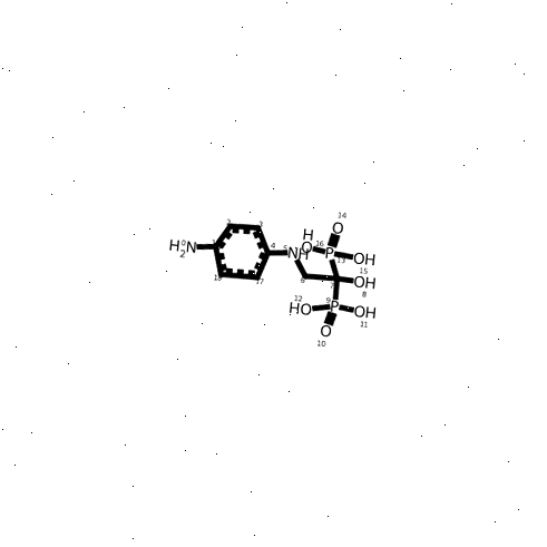 Nc1ccc(NCC(O)(P(=O)(O)O)P(=O)(O)O)cc1